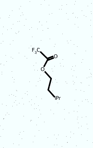 CC(C)CCOC(=O)C(F)(F)F